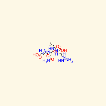 CC(C)C[C@H](NC(=O)[C@H](CCC(N)=O)NC(=O)[C@@H](N)CCC(=O)O)C(=O)N[C@@H](CCCNC(=N)N)C(=O)O